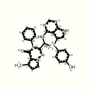 Cc1ccn2nc(C(C)Nc3ncnc4[nH]cc(Sc5ccc(O)cc5)c34)n(-c3ccccc3)c(=O)c12